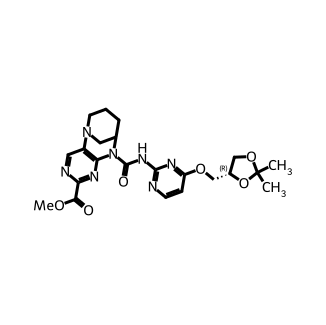 COC(=O)c1ncc2c(n1)N(C(=O)Nc1nccc(OC[C@@H]3COC(C)(C)O3)n1)C1CCCN2C1